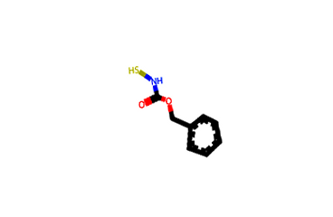 O=C(NS)OCc1ccccc1